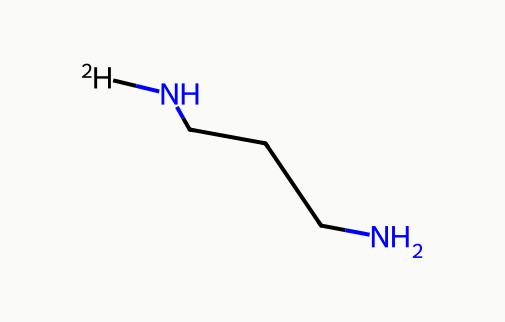 [2H]NCCCN